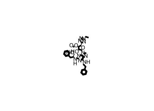 CCn1nnc([C@H]2O[C@@H](n3cnc4c(NCCc5ccccc5)nc(N[C@H](CO)Cc5ccccc5)nc43)[C@H](O)[C@@H]2OC=O)n1